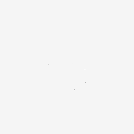 O=C1c2cc(O)c(O)c(O)c2C(=O)c2cc(O)cc(O)c21